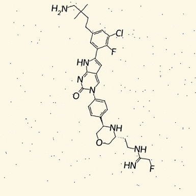 CC(C)(CN)CCc1cc(Cl)c(F)c(-c2cc3cn(-c4ccc([C@@H]5COC[C@@H](CCNC(=N)CF)N5)cc4)c(=O)nc3[nH]2)c1